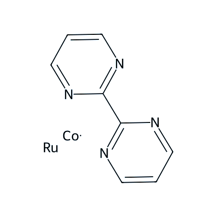 [Co].[Ru].c1cnc(-c2ncccn2)nc1